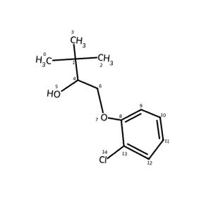 CC(C)(C)C(O)COc1ccccc1Cl